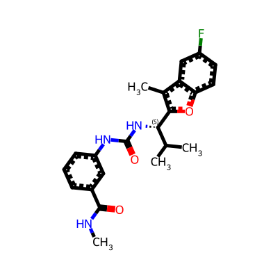 CNC(=O)c1cccc(NC(=O)N[C@H](c2oc3ccc(F)cc3c2C)C(C)C)c1